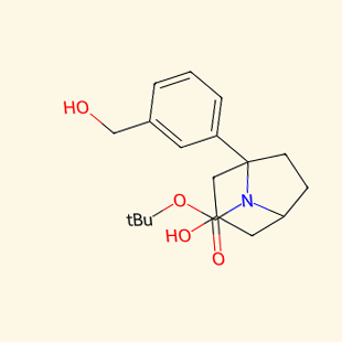 CC(C)(C)OC(=O)N1C2CCC1(c1cccc(CO)c1)CC(O)C2